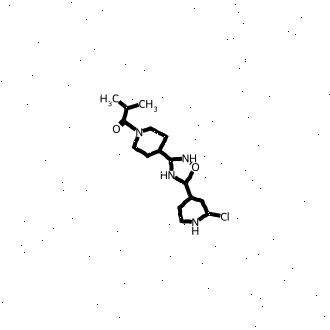 CC(C)C(=O)N1CCC(C2NOC(C3CCNC(Cl)C3)N2)CC1